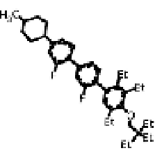 CCc1cc(-c2ccc(-c3ccc(C4CCC(C)CC4)cc3F)cc2F)c(CC)c(CC)c1OCC(CC)(CC)CC